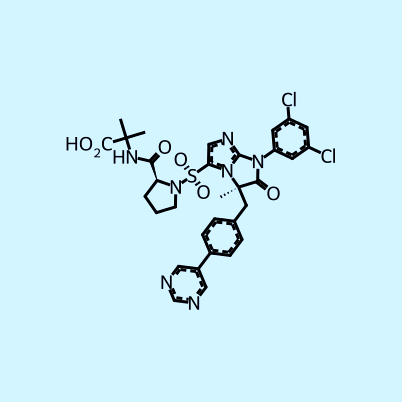 CC(C)(NC(=O)[C@@H]1CCCN1S(=O)(=O)c1cnc2n1[C@](C)(Cc1ccc(-c3cncnc3)cc1)C(=O)N2c1cc(Cl)cc(Cl)c1)C(=O)O